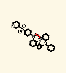 O=S(=O)(c1ccc(N2c3ccccc3[Si]3(c4ccccc4N(c4ccccc4)c4ccccc43)c3ccccc32)cc1)c1cccnc1